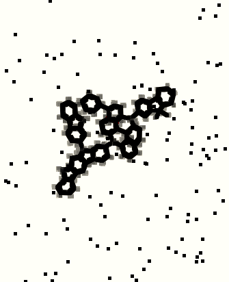 CC1(C)c2ccccc2-c2ccc(N(c3ccc(-c4ccccc4)cc3)c3ccccc3-c3ccccc3N(c3ccccc3)c3ccc4c5cc6c(cc5n(-c5ccc7c(c5)sc5ccccc57)c4c3)sc3ccccc36)cc21